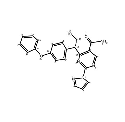 NC(=O)c1cnc(-n2cccn2)nc1[C@@H](CO)c1ccc(Oc2ccccc2)cc1